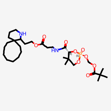 CC(C)(C)C(=O)OCO[P@@]1(=O)OCC(C)(C)[C@H](C(=O)NCCC(=O)OCCC2NCCCC23CCCCCCCC3)O1